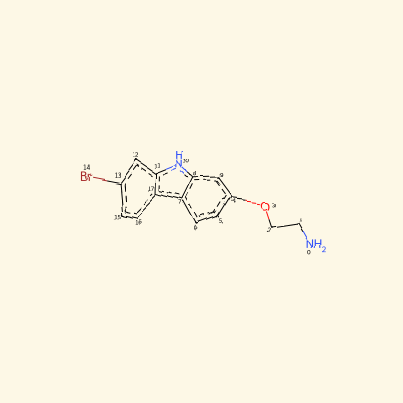 NCCOc1ccc2c(c1)[nH]c1cc(Br)ccc12